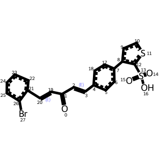 O=C(/C=C/c1ccc(-c2ccsc2S(=O)(=O)O)cc1)/C=C/c1ccccc1Br